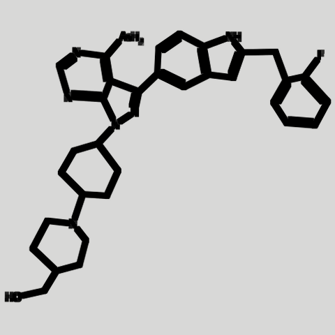 OCC1CCN(C2CCC(n3nc(-c4ccc5[nH]c(Cc6ccccc6F)cc5c4)c4c([AsH2])ncnc43)CC2)CC1